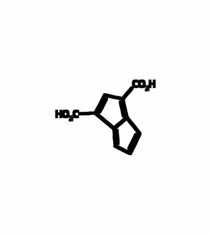 O=C(O)C1=CC(C(=O)O)=C2C=CC=C12